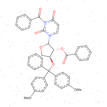 COc1ccc(C(O[C@H]2COC(n3ccc(=O)n(C(=O)c4ccccc4)c3=O)[C@@H]2OC(=O)c2ccccc2)(c2ccccc2)c2ccc(OC)cc2)cc1